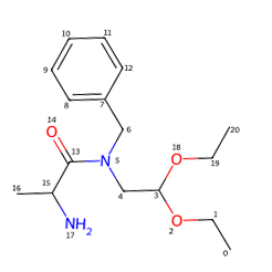 CCOC(CN(Cc1ccccc1)C(=O)C(C)N)OCC